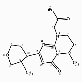 CC(C)C(=O)CN1CCC(C(F)(F)F)n2c1nc(N1CCOCC1C)cc2=O